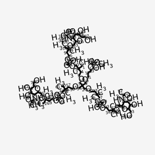 CCC(C)(CCOCC(COCCCOP(=O)(O)OC)(COCCC(C)(C)COP(=O)(O)OCCC(C)(C)OCC1OC(CO)C(O)C(O)C1NC(C)=O)COCCC(C)(CC)COP(=O)(O)OCCC(C)(CC)OCC1OC(CO)C(O)C(O)C1NC(C)=O)COP(=O)(O)OCCC(C)(CC)OCC1OC(CO)C(O)C(O)C1NC(C)=O